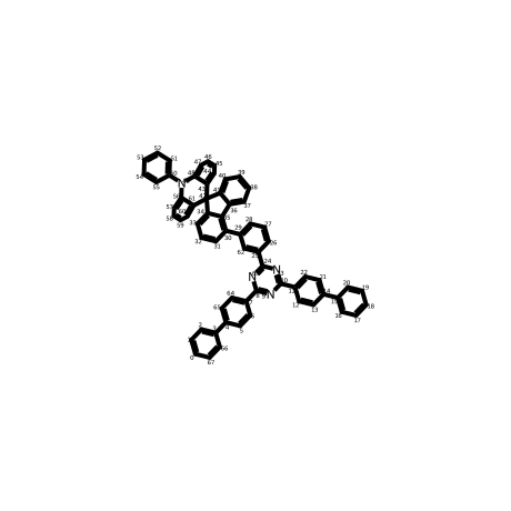 c1ccc(-c2ccc(-c3nc(-c4ccc(-c5ccccc5)cc4)nc(-c4cccc(-c5cccc6c5-c5ccccc5C65c6ccccc6N(c6ccccc6)c6ccccc65)c4)n3)cc2)cc1